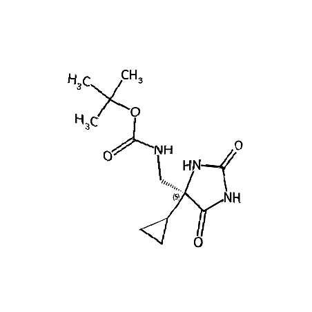 CC(C)(C)OC(=O)NC[C@]1(C2CC2)NC(=O)NC1=O